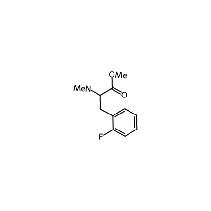 CNC(Cc1ccccc1F)C(=O)OC